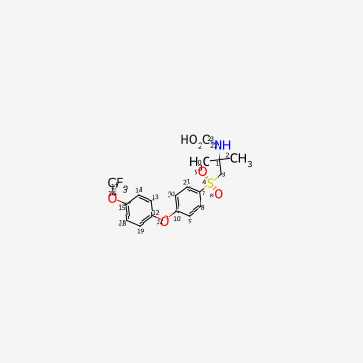 CC(C)(CS(=O)(=O)c1ccc(Oc2ccc(OC(F)(F)F)cc2)cc1)NC(=O)O